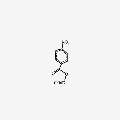 CCCCCOC(=O)c1ccc([N+](=O)[O-])cc1